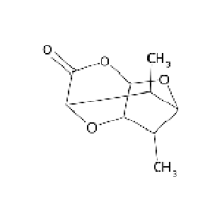 CC1C2OC3C(OC2=O)OC1C3C